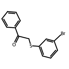 O=C(CSc1cccc(Br)c1)c1ccccc1